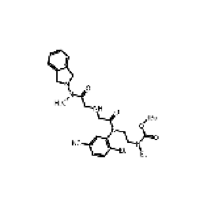 CCc1ccc(C#N)cc1N(CCN(CC)C(=O)OC(C)(C)C)C(=O)CNCC(=O)N(C)N1Cc2ccccc2C1